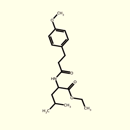 CCOC(=O)C(CC(C)C)NC(=O)CCc1ccc(OC)cc1